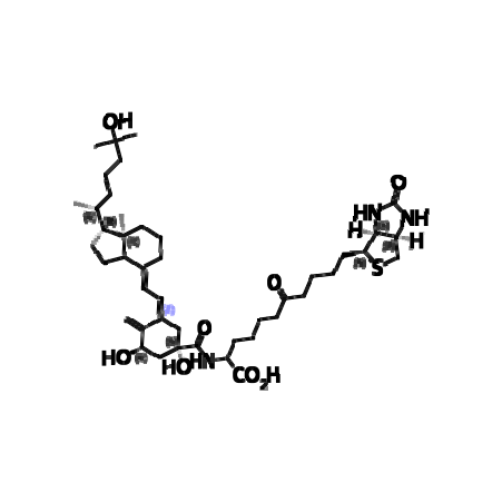 C=C1/C(=C\C=C2CCC[C@@]3(C)C2CC[C@@H]3[C@H](C)CCCC(C)(C)O)C[C@@](O)(C(=O)NC(CCCCC(=O)CCCC[C@@H]2SC[C@@H]3NC(=O)N[C@@H]32)C(=O)O)C[C@H]1O